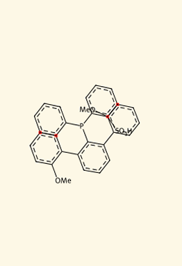 COc1ccccc1-c1cccc(-c2ccccc2OC)c1P(c1ccccc1)c1ccccc1S(=O)(=O)O